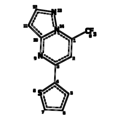 FC(F)(F)c1cc(-c2cccs2)nc2ccnn12